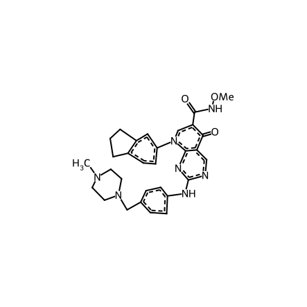 CONC(=O)c1cn(-c2ccc3c(c2)CCC3)c2nc(Nc3ccc(CN4CCN(C)CC4)cc3)ncc2c1=O